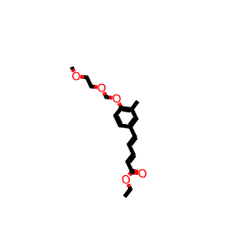 CCOC(=O)C=CC=Cc1ccc(OCOCCOC)c(C)c1